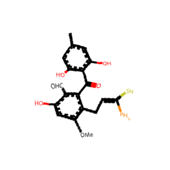 COc1cc(O)c(C=O)c(C(=O)c2c(O)cc(C)cc2O)c1C/C=C(\P)S